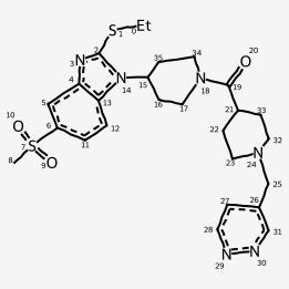 CCSc1nc2cc(S(C)(=O)=O)ccc2n1C1CCN(C(=O)C2CCN(Cc3ccnnc3)CC2)CC1